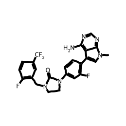 Cn1cc(-c2ccc(N3CCN(Cc4cc(C(F)(F)F)ccc4F)C3=O)cc2F)c2c(N)ncnc21